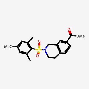 COC(=O)c1ccc2c(c1)CN(S(=O)(=O)c1c(C)cc(OC)cc1C)CC2